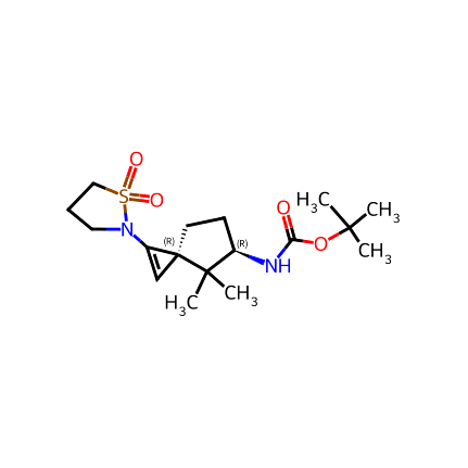 CC(C)(C)OC(=O)N[C@@H]1CC[C@@]2(C=C2N2CCCS2(=O)=O)C1(C)C